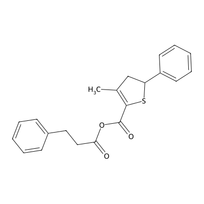 CC1=C(C(=O)OC(=O)CCc2ccccc2)SC(c2ccccc2)C1